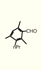 CCCc1c(C)cc(C)c(C=O)c1C